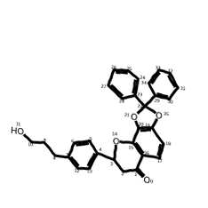 O=C1CC(c2ccc(CCCO)cc2)Oc2c1ccc1c2OC(c2ccccc2)(c2ccccc2)O1